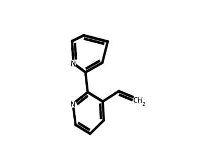 C=Cc1cccnc1-c1ccccn1